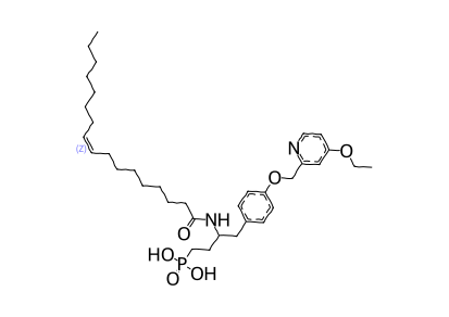 CCCCCCC/C=C\CCCCCCCC(=O)NC(CCP(=O)(O)O)Cc1ccc(OCc2cc(OCC)ccn2)cc1